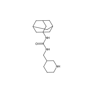 O=C(NCC1CCCNC1)NC12CC3CC(CC(C3)C1)C2